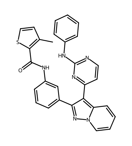 Cc1ccsc1C(=O)Nc1cccc(-c2nn3ccccc3c2-c2ccnc(Nc3ccccc3)n2)c1